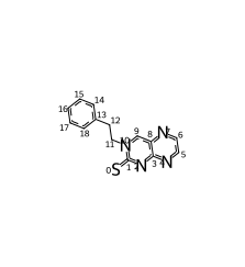 S=c1nc2nccnc2cn1CCc1ccccc1